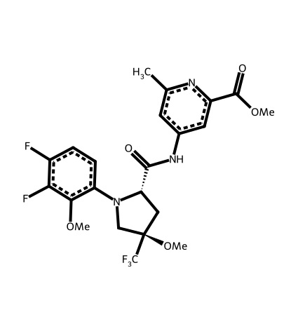 COC(=O)c1cc(NC(=O)[C@@H]2C[C@](OC)(C(F)(F)F)CN2c2ccc(F)c(F)c2OC)cc(C)n1